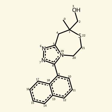 CC1(CO)Cc2nnc(-c3cccc4ccccc34)n2CCS1